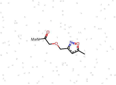 CNC(=O)COCc1cc(C)on1